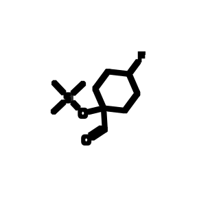 C[Si](C)(C)OC1(C=O)CCC(F)CC1